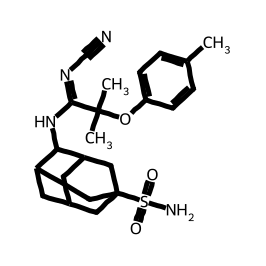 Cc1ccc(OC(C)(C)/C(=N\C#N)NC2C3CC4CC2CC(S(N)(=O)=O)(C4)C3)cc1